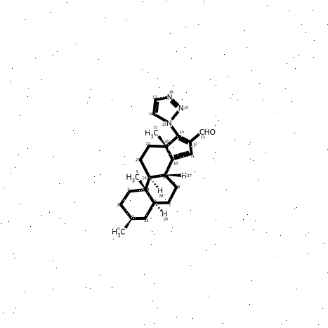 C[C@H]1CC[C@@]2(C)[C@@H](CC[C@H]3C4=CC(C=O)=C(n5ccnn5)[C@@]4(C)CC[C@@H]32)C1